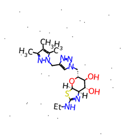 CCNC1=N[C@@H]2[C@@H](O)[C@H](O)[C@@H](Cn3cc(Cn4nc(C)c(C)c4C)nn3)O[C@@H]2S1